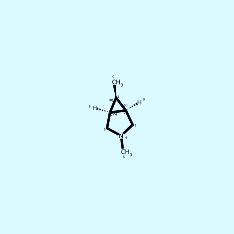 C[C@H]1[C@H]2CN(C)C[C@@H]12